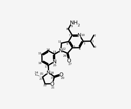 CC(C)c1cc2c(c(CN)n1)CN(c1cccc(N3C(=O)OC[C@@H]3C)n1)C2=O